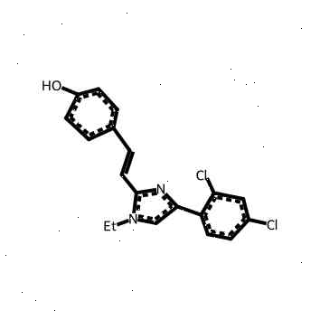 CCn1cc(-c2ccc(Cl)cc2Cl)nc1C=Cc1ccc(O)cc1